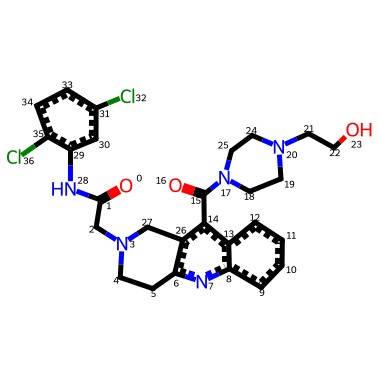 O=C(CN1CCc2nc3ccccc3c(C(=O)N3CCN(CCO)CC3)c2C1)Nc1cc(Cl)ccc1Cl